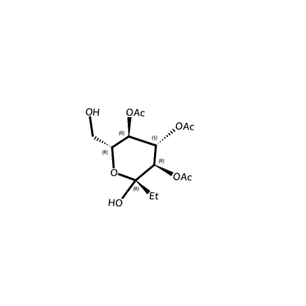 CC[C@@]1(O)O[C@H](CO)[C@@H](OC(C)=O)[C@H](OC(C)=O)[C@H]1OC(C)=O